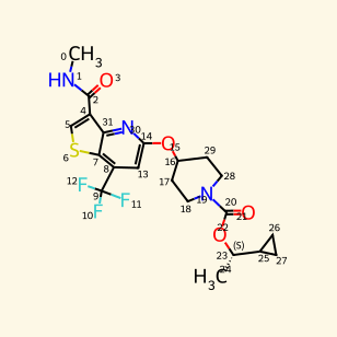 CNC(=O)c1csc2c(C(F)(F)F)cc(OC3CCN(C(=O)O[C@@H](C)C4CC4)CC3)nc12